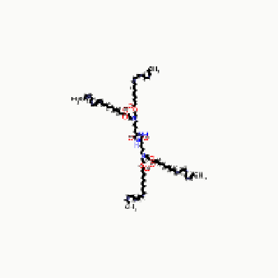 CC/C=C\C/C=C\C/C=C\CCCCCCCC(=O)OCCN(CCCCC1NC(=O)C(CCCCN(CCOC(=O)CCCCCCC/C=C\C/C=C\C/C=C\CC)CCOC(=O)CCCCCCC/C=C\C/C=C\C/C=C\CC)NC1=O)CCOC(=O)CCCCCCC/C=C\C/C=C\C/C=C\CC